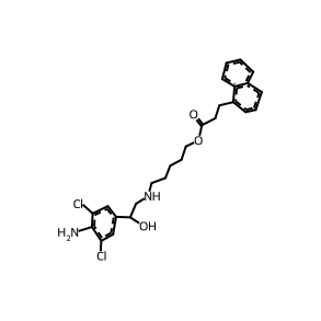 Nc1c(Cl)cc(C(O)CNCCCCCOC(=O)CCc2cccc3ccccc23)cc1Cl